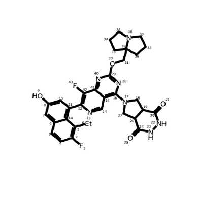 CCc1c(F)ccc2cc(O)cc(-c3ncc4c(N5CC6C(=O)NNC(=O)C6C5)nc(OCC56CCCN5CCC6)nc4c3F)c12